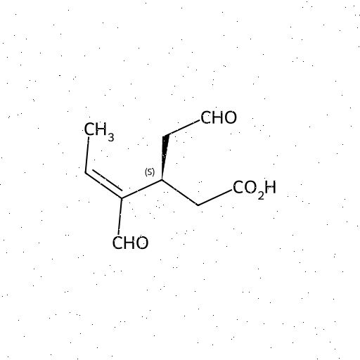 CC=C(C=O)[C@@H](CC=O)CC(=O)O